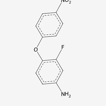 Nc1ccc(Oc2ccc([N+](=O)[O-])cc2)c(F)c1